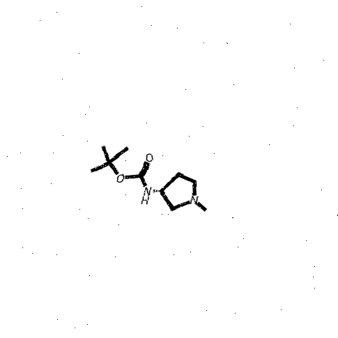 CN1CC[C@@H](NC(=O)OC(C)(C)C)C1